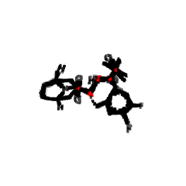 CC(=O)NCCS(=O)(=O)N1[C@@H]2CC[C@H]1C[C@H]([C@@H](Cc1cc(F)c(F)cc1F)N[S+]([O-])C(C)(C)C)C2